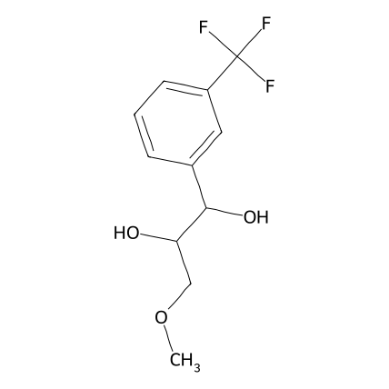 COCC(O)C(O)c1cccc(C(F)(F)F)c1